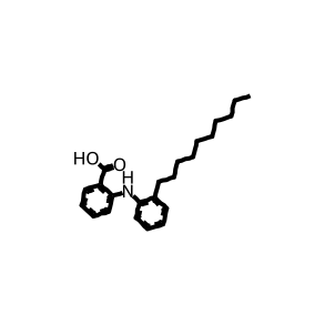 CCCCCCCCCCc1ccccc1Nc1ccccc1C(=O)O